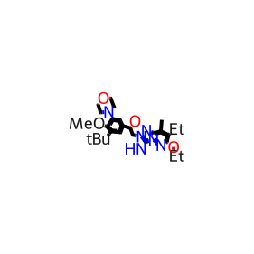 CCOc1nn2c(=N)n(CC(=O)c3cc(N4CCOCC4)c(OC)c(C(C)(C)C)c3)nc2c(C)c1CC